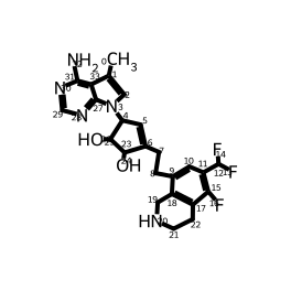 Cc1cn(C2C=C(CCc3cc(C(F)F)c(F)c4c3CNCC4)C(O)C2O)c2ncnc(N)c12